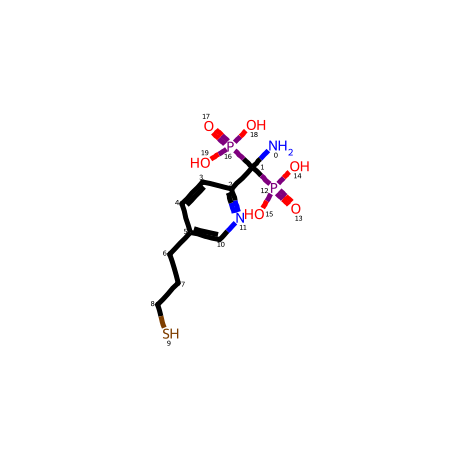 NC(c1ccc(CCCS)cn1)(P(=O)(O)O)P(=O)(O)O